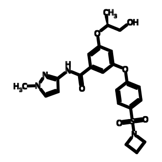 C[C@@H](CO)Oc1cc(Oc2ccc(S(=O)(=O)N3CCC3)cc2)cc(C(=O)Nc2ccn(C)n2)c1